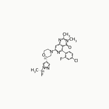 Cc1nc2cc(N3CCO[C@@H](c4cnn([C@@H](C)F)c4)C3)nc(-c3ccc(Cl)cc3F)c2c(=O)n1C